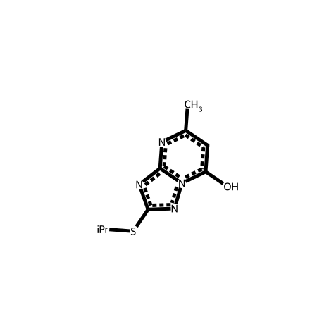 Cc1cc(O)n2nc(SC(C)C)nc2n1